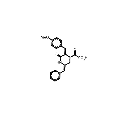 COc1ccc(C=C2C(=O)NC(=Cc3ccccc3)CN2C(=O)C(=O)O)cc1